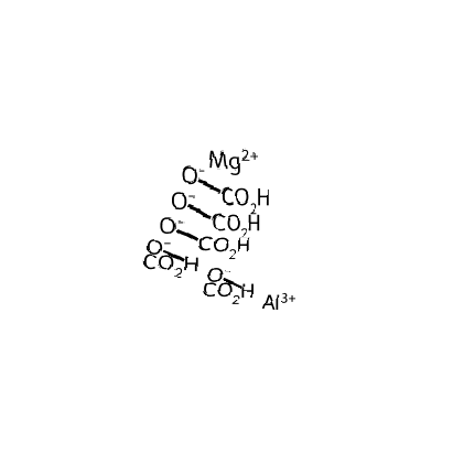 O=C([O-])O.O=C([O-])O.O=C([O-])O.O=C([O-])O.O=C([O-])O.[Al+3].[Mg+2]